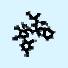 CC(C)OC(=O)[C@H](C)NP(=O)(OC[C@@]1(C)O[C@@H](n2ccc(=S)[nH]c2=S)[C@@H](O)[C@H]1O)Oc1ccccc1